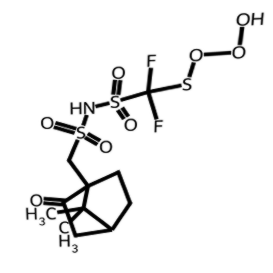 CC1(C)C2CCC1(CS(=O)(=O)NS(=O)(=O)C(F)(F)SOOO)C(=O)C2